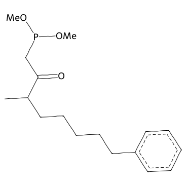 COP(CC(=O)C(C)CCCCCc1ccccc1)OC